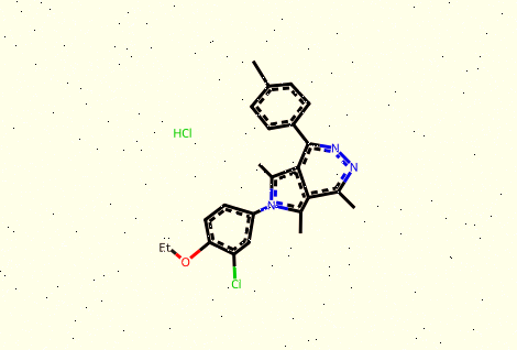 CCOc1ccc(-n2c(C)c3c(C)nnc(-c4ccc(C)cc4)c3c2C)cc1Cl.Cl